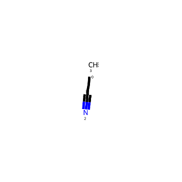 CC#N.[CH]